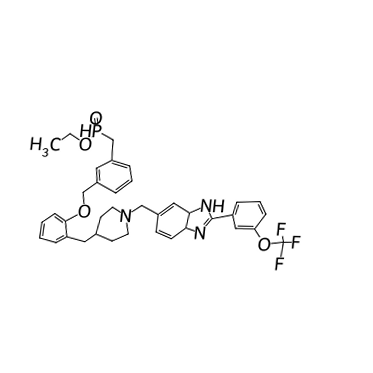 CCO[PH](=O)Cc1cccc(COc2ccccc2CC2CCN(CC3=CC4NC(c5cccc(OC(F)(F)F)c5)=NC4C=C3)CC2)c1